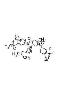 CNC(=O)c1cc(-n2c(=O)c3c(n4ncc(CC(C)C)c24)CN(C(=O)c2ccc(Br)c(C(F)(F)F)c2)[C@H](C)C3)nn1C